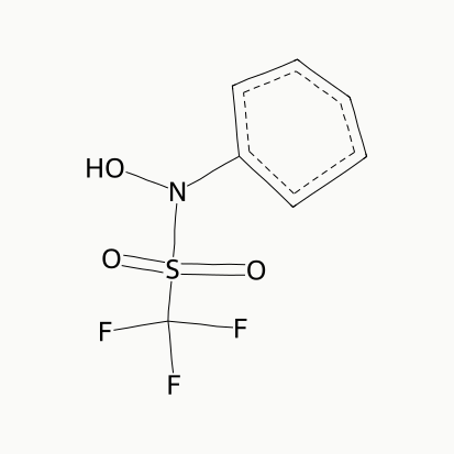 O=S(=O)(N(O)c1ccccc1)C(F)(F)F